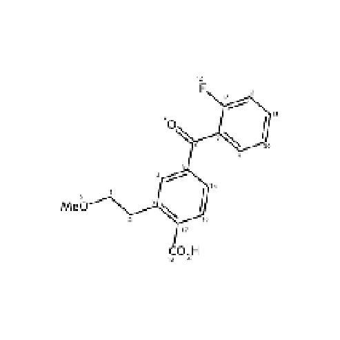 COCCc1cc(C(=O)c2ccccc2F)ccc1C(=O)O